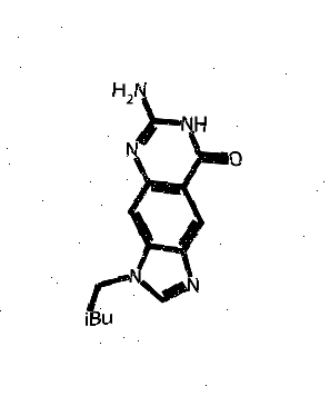 CCC(C)Cn1cnc2cc3c(=O)[nH]c(N)nc3cc21